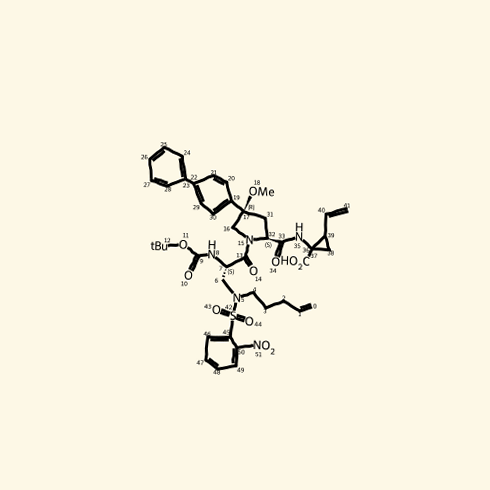 C=CCCCN(C[C@H](NC(=O)OC(C)(C)C)C(=O)N1C[C@](OC)(c2ccc(-c3ccccc3)cc2)C[C@H]1C(=O)NC1(C(=O)O)CC1C=C)S(=O)(=O)c1ccccc1[N+](=O)[O-]